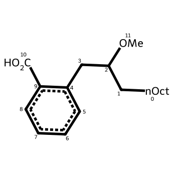 CCCCCCCCCC(Cc1ccccc1C(=O)O)OC